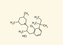 CCC(C)(C)c1cccc(CC(C)CN2CC(C)CC(C)C2)c1Cl.Cl